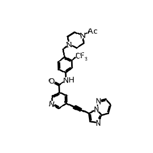 CC(=O)N1CCN(Cc2ccc(NC(=O)c3cncc(C#Cc4cnc5cccnn45)c3)cc2C(F)(F)F)CC1